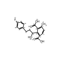 Cc1ccc(C(=O)O)c(C(O)CCc2ccc(F)cc2)c1C(=O)O